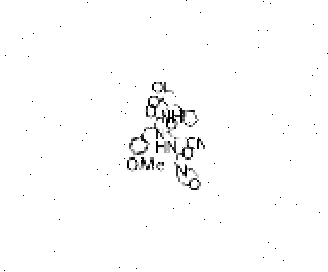 COc1ccc(C[C@H](NC(=O)[C@H](CC#N)NC(=O)CN2CCOCC2)C(=O)N[C@@H](CC2=CCCC2)C(=O)[C@@]2(C)CO2)cc1